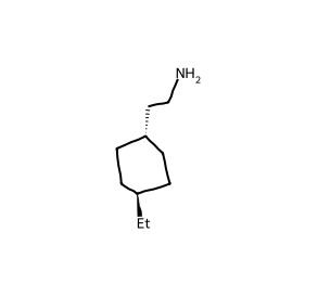 CC[C@H]1CC[C@H](CCN)CC1